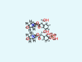 CN1[C@@H]2CC(OC(=O)[C@H](CO)c3ccccc3)C[C@H]1[C@@H]1O[C@@H]12.CN1[C@@H]2CC(OC(=O)[C@H](CO)c3ccccc3)C[C@H]1[C@@H]1O[C@@H]12.O=S(=O)(O)O